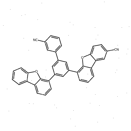 N#Cc1cccc(-c2cc(-c3cccc4c3oc3ccccc34)cc(-c3cccc4c3oc3ccc(C#N)cc34)c2)c1